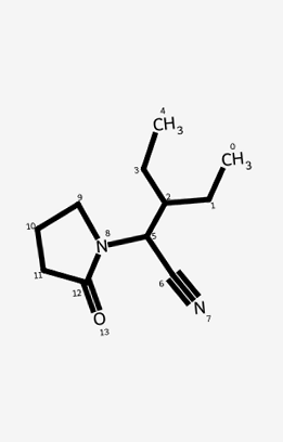 CCC(CC)C(C#N)N1CCCC1=O